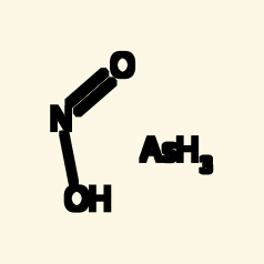 O=NO.[AsH3]